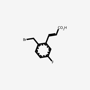 O=C(O)C=Cc1cc(F)ccc1CBr